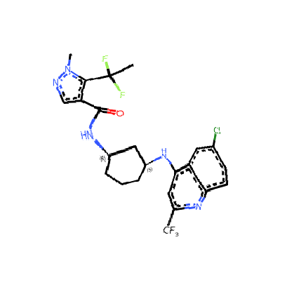 Cn1ncc(C(=O)N[C@@H]2CCC[C@H](Nc3cc(C(F)(F)F)nc4ccc(Cl)cc34)C2)c1C(C)(F)F